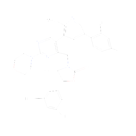 COc1ncc(-c2ccc(C)cc2C)cc1-c1cnc(N2CCOCC2)nc1CN1C(=O)O[C@H](c2cc(C)cc(C(F)(F)F)c2)[C@@H]1C